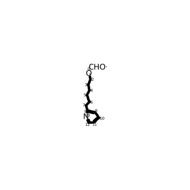 O=[C]OCCCCCCc1ccccn1